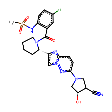 CS(=O)(=O)Nc1ccc(Cl)cc1C(=O)N1CCCC[C@H]1c1cn2nc(N3CC(C#N)[C@@H](O)C3)ccc2n1